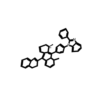 CC1C=CC=C2C(C3=Cc4ccccc4CC3)=C3C=CC[C@@H](C)C3=C(c3ccc(-n4c(-c5ccccc5)nc5ccccc54)cc3)C21